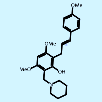 COc1ccc(/C=C/Cc2c(OC)cc(OC)c(CN3CCCCC3)c2O)cc1